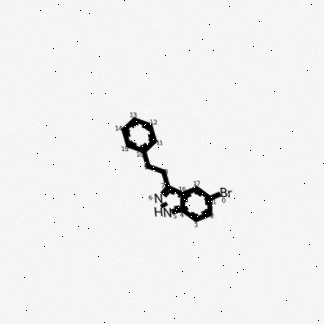 Brc1ccc2[nH]nc(CCc3ccccc3)c2c1